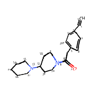 C#Cc1ccc(C(=O)N2CCC(N3CCCCC3)CC2)cc1